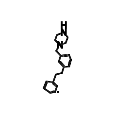 [c]1cccc(CCc2cccc(CN3CCNCC3)c2)c1